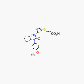 CC(C)(C)OC1CCC(N(C(=O)Nc2ncc(SCCC(=O)O)s2)C2CCCCC2)CC1